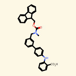 CN(Cc1cccc(-c2ccc(Nc3ccccc3C(=O)O)cc2)c1)C(=O)OCC1c2ccccc2-c2ccccc21